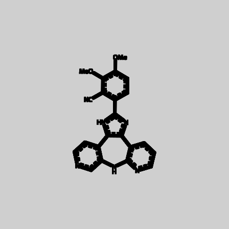 COc1ccc(-c2nc3c([nH]2)-c2ccncc2Nc2ncccc2-3)c(C#N)c1OC